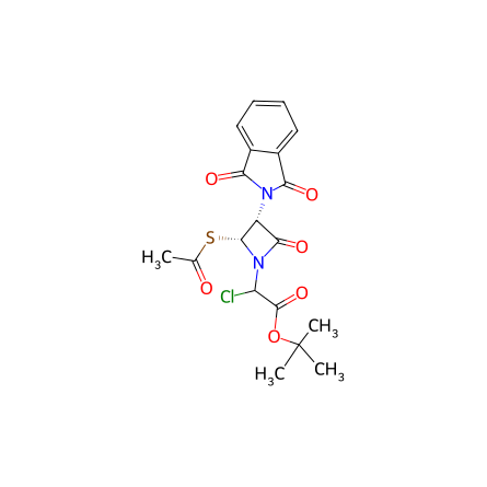 CC(=O)S[C@@H]1[C@H](N2C(=O)c3ccccc3C2=O)C(=O)N1C(Cl)C(=O)OC(C)(C)C